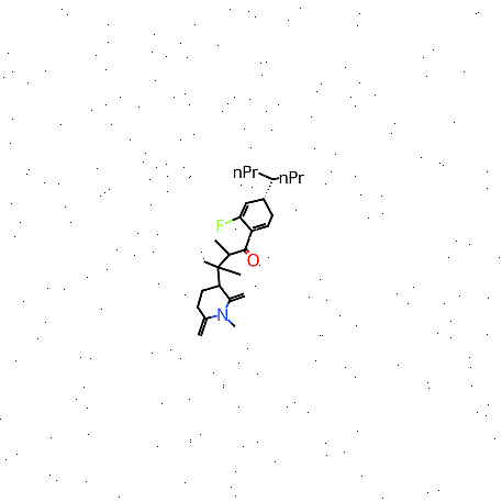 C=C1CCC(C(C)(C)C(C)C(=O)C2=CC[C@@H](C(CCC)CCC)C=C2F)C(=C)N1C